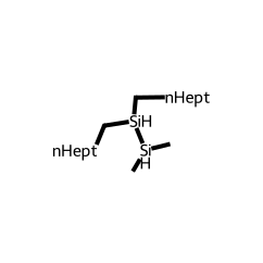 CCCCCCCC[SiH](CCCCCCCC)[SiH](C)C